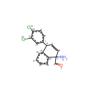 NC1(C=O)C=CC(c2ccc(Cl)c(Cl)c2)c2ccccc21